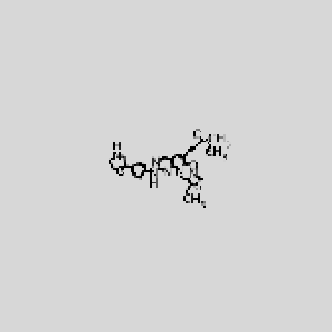 CCc1scnc1Cn1c(=O)c(C#CC(=O)N(C)C)cc2cnc(Nc3ccc(C4CNCCO4)cc3)nc21